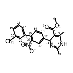 COC(=O)C1=C(C)NC(C)=NC1c1ccc(-c2cccc(Cl)c2)c([N+](=O)[O-])c1